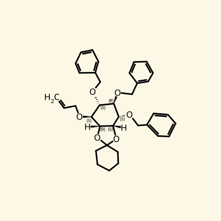 C=CCO[C@H]1[C@H](OCc2ccccc2)[C@@H](OCc2ccccc2)[C@H](OCc2ccccc2)[C@@H]2OC3(CCCCC3)O[C@H]12